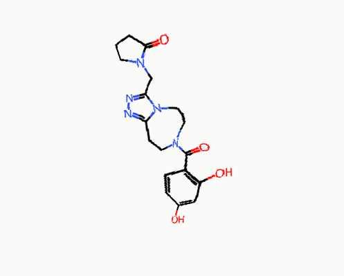 O=C1CCCN1Cc1nnc2n1CCN(C(=O)c1ccc(O)cc1O)CC2